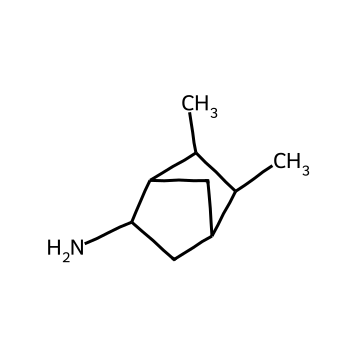 CC1C2CC(N)C(C2)C1C